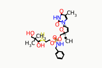 C#C[C@@]1(CO[P@@](=O)(NCc2ccccc2)OCC[SH]=C(O)C(C)(C)CO)C=C[C@H](n2cc(C)c(=O)[nH]c2=O)O1